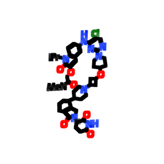 CNC(=O)COc1cc2cc(Nc3nc(N4CCC(OC5CC(N6CCC(c7cccc8c7CN([C@@H]7CCC(=O)NC7=O)C8=O)CC6)C5)CC4)ncc3Cl)ccc2n(C(C)C)c1=O